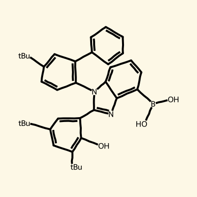 CC(C)(C)c1ccc(-n2c(-c3cc(C(C)(C)C)cc(C(C)(C)C)c3O)nc3c(B(O)O)cccc32)c(-c2ccccc2)c1